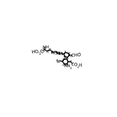 CC(=O)Nc1ccc(C=O)cc1.N.NCCCC[C@H](N)C(=O)O.O=C(O)Cc1ccc(Br)cc1